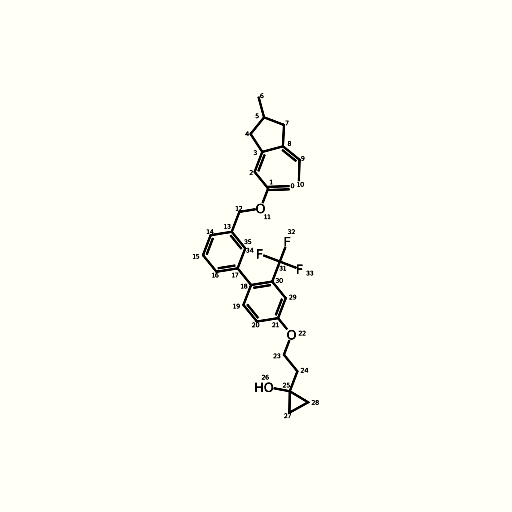 C=C(/C=C1/CC(C)C/C1=C/C)OCc1cccc(-c2ccc(OCCC3(O)CC3)cc2C(F)(F)F)c1